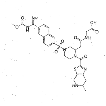 COC(=O)NC(=N)c1ccc2cc(S(=O)(=O)N3CCN(C(=O)c4nc5c(s4)CNC(C)C5)C(CC(=O)NCC(=O)O)C3)ccc2c1